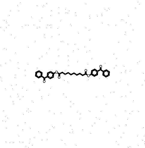 O=C(CCCCCCCCC(=O)Oc1ccc(C(=O)c2ccccc2)cc1)Oc1ccc(C(=O)c2ccccc2)cc1